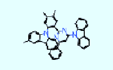 Cc1ccc2c(c1)c1ccccc1n2-c1cc(C)c(C)cc1-c1nc(-c2ccccc2)cc(-n2c3ccccc3c3ccccc32)n1